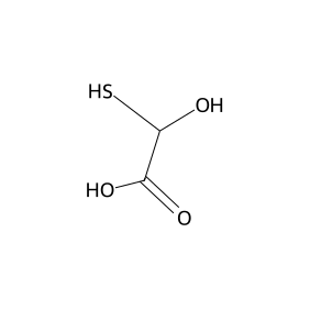 O=C(O)C(O)S